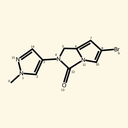 Cn1cc(N2Cc3cc(Br)cn3C2=O)cn1